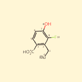 CCC(C)Cc1c(C(=O)O)ccc(O)c1F